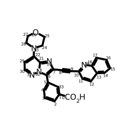 O=C(O)c1cccc(-c2c(C#Cc3ccc4ccccc4n3)nc3c(N4CCOCC4)ccnn23)c1